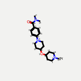 CC(C)N1CCC(OC2CCN(c3ccc(C(=O)N(C)C)cc3)CC2)CC1